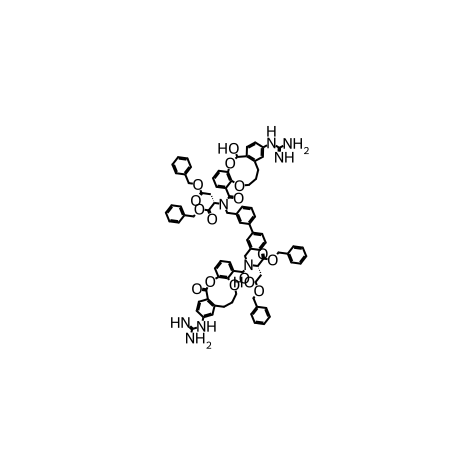 N=C(N)Nc1ccc2c(c1)CCCOc1c(cccc1C(=O)N(Cc1cccc(-c3cccc(CN(C(=O)c4cccc5c4OCCCc4cc(NC(=N)N)ccc4C(O)O5)[C@@H](CC(=O)OCc4ccccc4)C(=O)OCc4ccccc4)c3)c1)[C@@H](CC(O)OCc1ccccc1)C(=O)OCc1ccccc1)OC2=O